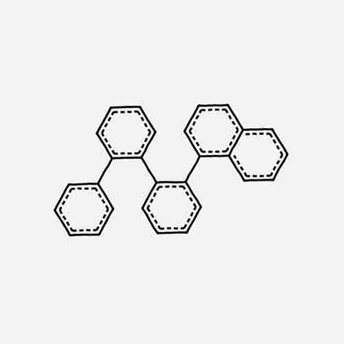 c1ccc(-c2ccccc2-c2ccccc2-c2cccc3ccccc23)cc1